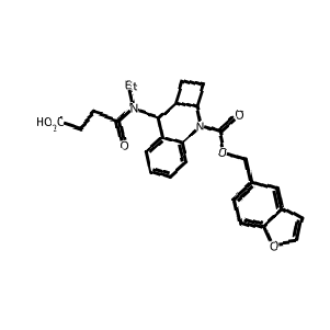 CCN(C(=O)CCC(=O)O)C1c2ccccc2N(C(=O)OCc2ccc3occc3c2)C2CCC12